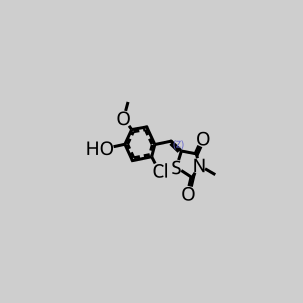 COc1cc(/C=C2\SC(=O)N(C)C2=O)c(Cl)cc1O